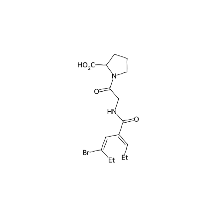 CC/C=C(\C=C(\Br)CC)C(=O)NCC(=O)N1CCCC1C(=O)O